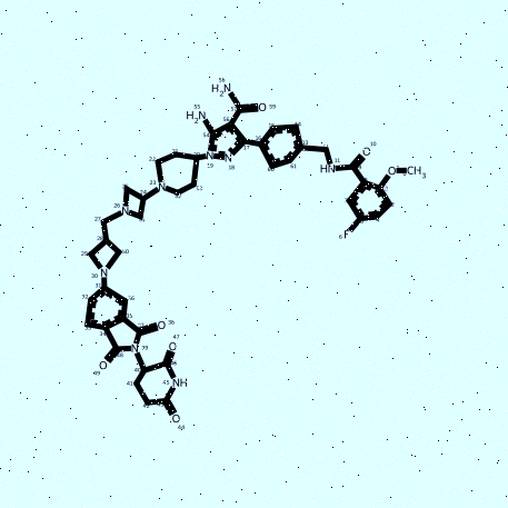 COc1ccc(F)cc1C(=O)NCc1ccc(-c2nn(C3CCN(C4CN(CC5CN(c6ccc7c(c6)C(=O)N(C6CCC(=O)NC6=O)C7=O)C5)C4)CC3)c(N)c2C(N)=O)cc1